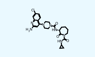 Nc1cc(N2CCN(C(=O)N[C@H]3CCCCN(C(=O)NC4CC4)C3=O)CC2)c2ccc(Cl)cc2n1